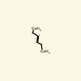 [GeH3][CH2]/C=C/[CH2][GeH3]